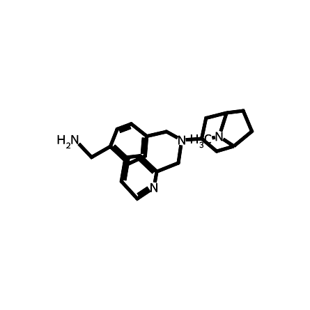 CN1C2CCC1CC(N(Cc1ccc(CN)cc1)Cc1ccccn1)C2